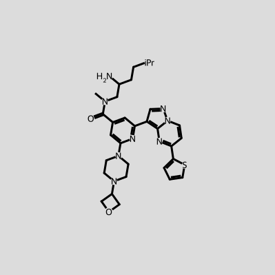 CC(C)CCC(N)CN(C)C(=O)c1cc(-c2cnn3ccc(-c4cccs4)nc23)nc(N2CCN(C3COC3)CC2)c1